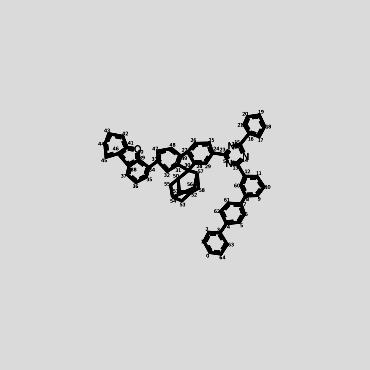 c1ccc(-c2ccc(-c3cccc(-c4nc(-c5ccccc5)nc(-c5ccc6c(c5)C5(c7cc(-c8cccc9c8oc8ccccc89)ccc7-6)C6CC7CC(C6)CC5C7)n4)c3)cc2)cc1